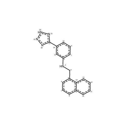 c1cc(NCc2cccc3ccccc23)cc(-c2nn[nH]n2)c1